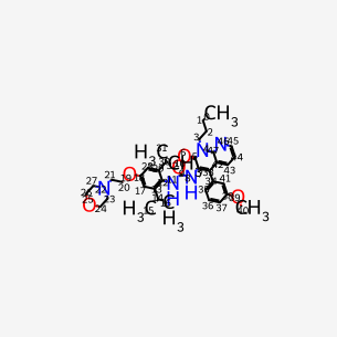 CCCCn1c(=O)c(NC(=O)Nc2c(C(C)C)cc(OCCN3CCOCC3)cc2C(C)C)c(-c2cccc(OC)c2)c2cccnc21